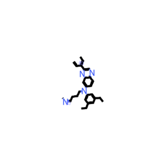 C=C/C(=C\C)c1cnc2ccc(N(CCC/C=N\C)c3cc(CC)cc(CC)c3)cc2n1